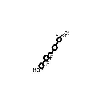 CCOCc1ccc(C2CCC(CCc3ccc(-c4ccc(O)cc4)c(F)c3F)CC2)cc1F